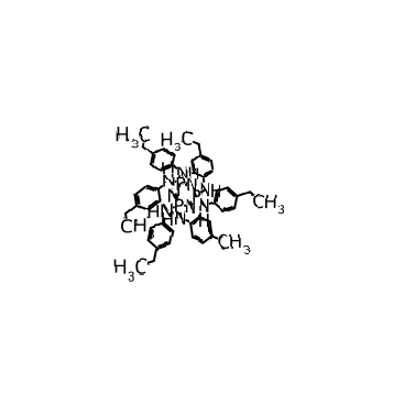 CCc1ccc(NP2(Nc3ccc(C)cc3)=NP(Nc3ccc(CC)cc3)(Nc3ccc(CC)cc3)=NP(Nc3ccc(CC)cc3)(Nc3ccc(CC)cc3)=N2)cc1